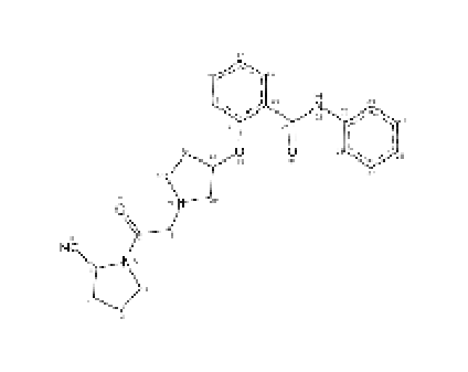 N#CC1CCCN1C(=O)CN1CCC(Oc2ccccc2C(=O)Nc2ccccc2)C1